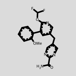 COc1ccccc1-c1cc(Cc2cnc(C(N)=O)nc2)cnc1OC(F)F